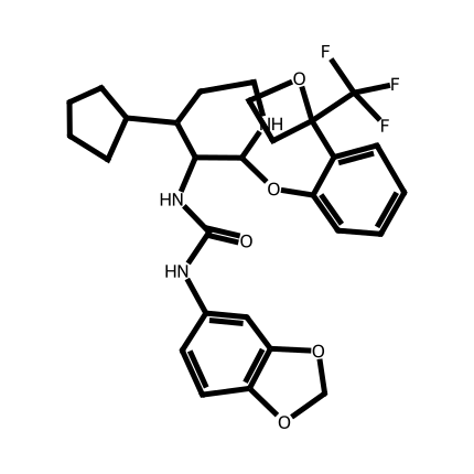 O=C(Nc1ccc2c(c1)OCO2)NC1C(Oc2ccccc2C2(C(F)(F)F)CCO2)NCCC1C1CCCC1